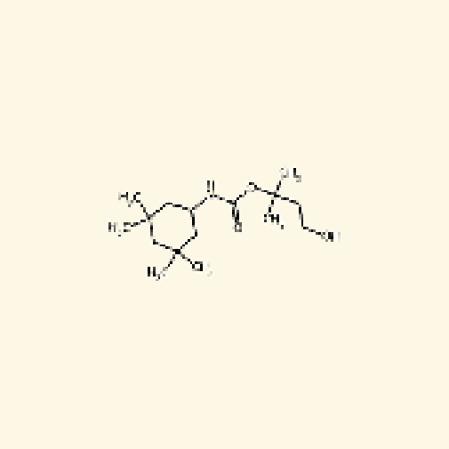 CC1(C)CC(NC(=O)OC(C)(C)CCO)CC(C)(C)C1